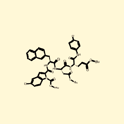 CC(C)(C)OC(=O)CC[C@H](NC(=O)[C@H](CC(=O)OC(C)(C)C)NC(=O)[C@H](Cc1ccc2ccccc2c1)NC(=O)c1cc2cc(Cl)ccc2n1C(=O)OC(C)(C)C)C(=O)Nc1ccc(Cl)cc1